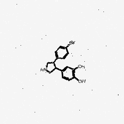 Oc1ccc(C2CNCC2c2ccc(Br)cc2)cc1O